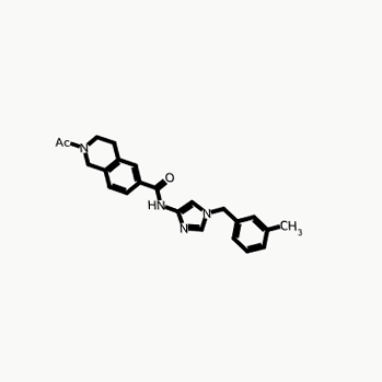 CC(=O)N1CCc2cc(C(=O)Nc3cn(Cc4cccc(C)c4)cn3)ccc2C1